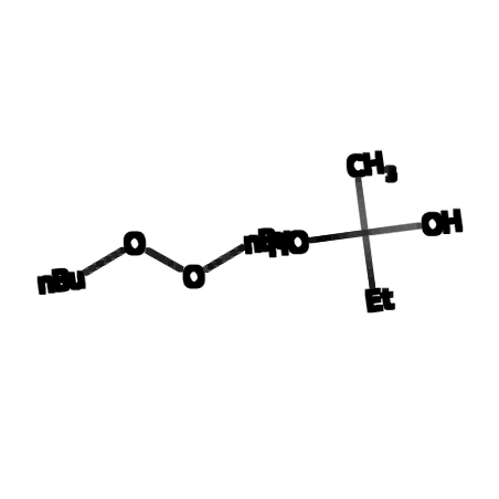 CCC(C)(O)O.CCCCOOCCCC